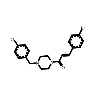 O=C(/C=C/c1ccc(Br)cc1)N1CCN(Cc2ccc(Cl)cc2)CC1